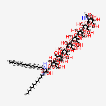 CCCCCCCCCCCCC/C=C/[C@@H](O)[C@H](CO[C@@H]1OC(CO)[C@@H](O[C@@H]2OC(CO)[C@H](O[C@@H]3OC(CO)[C@H](O)[C@H](O[C@H]4OC(CO)[C@H](O)[C@H](O[C@H]5OC(CO)[C@H](O)[C@H](O[C@H]6OC(CO)[C@H](O)[C@H](O[C@H]7OC(CO)[C@H](O)[C@H](O[C@@H]8OC(CO)[C@H](O)[C@H](O)C8NC(C)=O)C7O)C6O)C5O)C4O)C3O)[C@H](O)C2O)[C@H](O)C1O)NC(=O)CCCCCCCCCCCCCCCCC